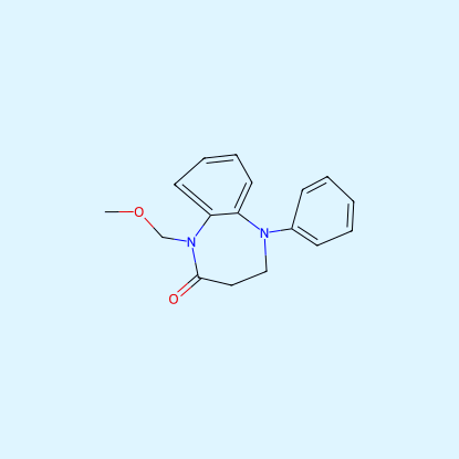 COCN1C(=O)CCN(c2ccccc2)c2ccccc21